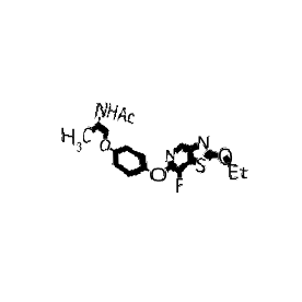 CCOc1nc2cnc(O[C@H]3CC[C@H](OC[C@H](C)NC(C)=O)CC3)c(F)c2s1